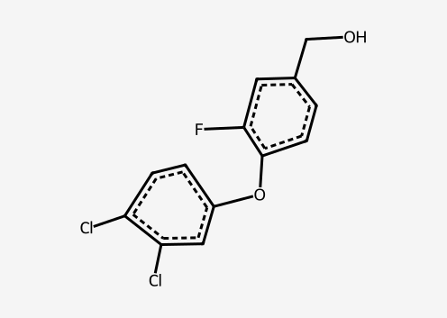 OCc1ccc(Oc2ccc(Cl)c(Cl)c2)c(F)c1